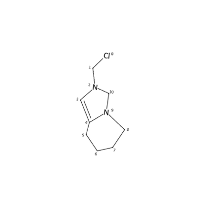 ClCN1C=C2CCCCN2C1